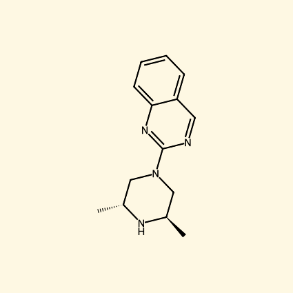 C[C@@H]1CN(c2ncc3ccccc3n2)C[C@@H](C)N1